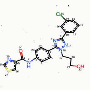 O=C(Nc1ccc(-c2nc(-c3cccc(Cl)c3)nn2CCCO)cc1)c1cscn1